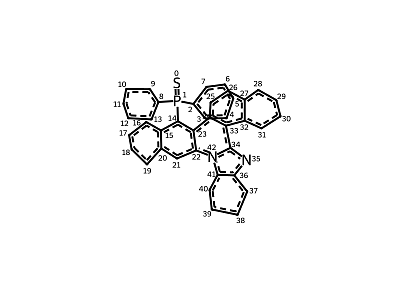 S=P(c1ccccc1)(c1ccccc1)c1c2ccccc2cc2c1c1ccc3ccccc3c1c1nc3ccccc3n21